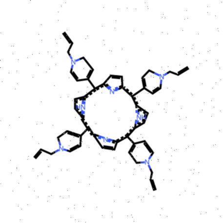 C=CCN1C=CC(c2c3nc(c(C4=CCN(CC=C)C=C4)c4ccc([nH]4)c(C4=CCN(CC=C)C=C4)c4nc(c(C5=CCN(CC=C)C=C5)c5ccc2[nH]5)C=C4)C=C3)=CC1